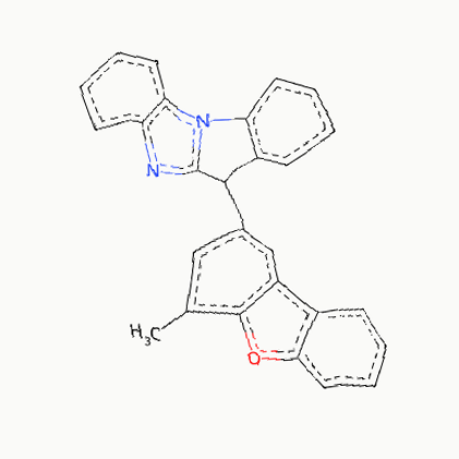 Cc1cc(C2c3ccccc3-n3c2nc2ccccc23)cc2c1oc1ccccc12